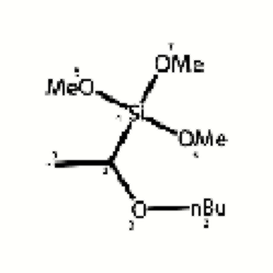 [CH2]C(OCCCC)[Si](OC)(OC)OC